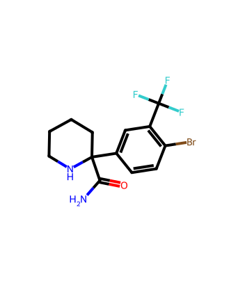 NC(=O)C1(c2ccc(Br)c(C(F)(F)F)c2)CCCCN1